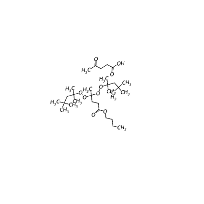 CC(=O)CCC(=O)O.CCCCOC(=O)CCC(C)(OOC(C)(C)CC(C)(C)C)OOC(C)(C)CC(C)(C)C